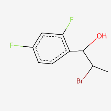 CC(Br)C(O)c1ccc(F)cc1F